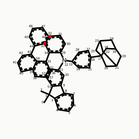 CC1(C)c2ccccc2-c2cc(N(c3ccc(C45CC6CC(CC(C6)C4)C5)cc3)c3ccccc3-c3cccc4cccc(-c5ccccc5)c34)ccc21